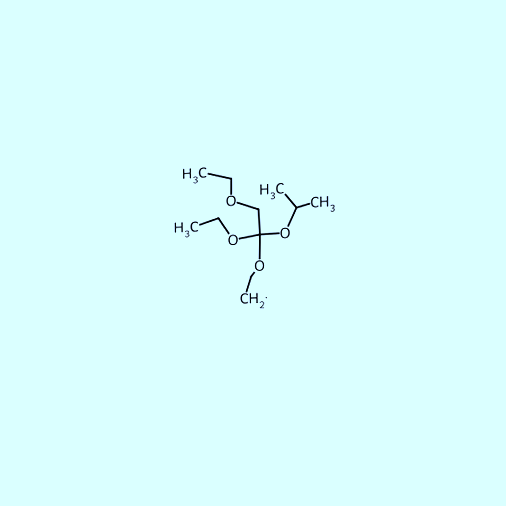 [CH2]COC(COCC)(OCC)OC(C)C